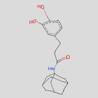 O=C(CCc1ccc(O)c(O)c1)NC12CC3CC(CC(C3)C1)C2